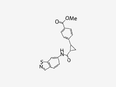 COC(=O)c1ccc(C2CC2C(=O)Nc2ccc3cnsc3c2)cc1